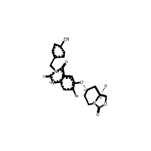 N#Cc1ccc(Cn2c(=O)[nH]c3cc(Br)c(O[C@H]4CCN5C(=O)OC[C@@H]5C4)cc3c2=O)cc1